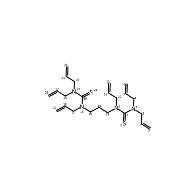 C=CCN(CC=C)C(=S)N(CC=C)CCCN(CC=C)C(=S)N(CC=C)CC=C